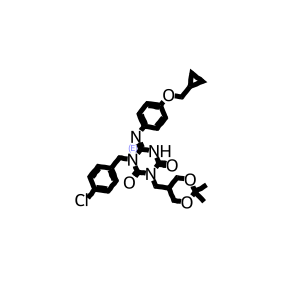 CC1(C)OCC(Cn2c(=O)[nH]/c(=N\c3ccc(OCC4CC4)cc3)n(Cc3ccc(Cl)cc3)c2=O)CO1